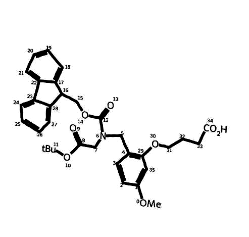 COc1ccc(CN(CC(=O)OC(C)(C)C)C(=O)OCC2c3ccccc3-c3ccccc32)c(OCCCC(=O)O)c1